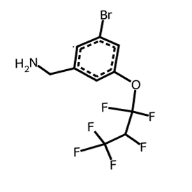 NCc1[c]c(Br)cc(OC(F)(F)C(F)C(F)(F)F)c1